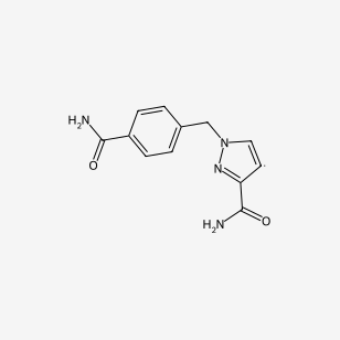 NC(=O)c1ccc(Cn2c[c]c(C(N)=O)n2)cc1